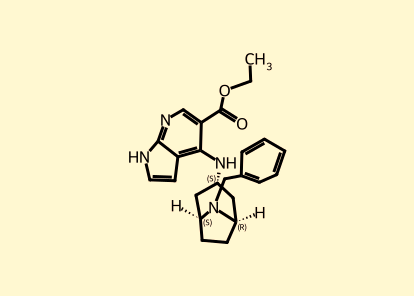 CCOC(=O)c1cnc2[nH]ccc2c1N[C@@H]1C[C@H]2CC[C@@H](C1)N2Cc1ccccc1